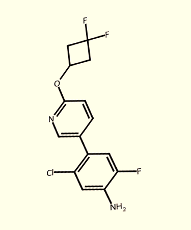 Nc1cc(Cl)c(-c2ccc(OC3CC(F)(F)C3)nc2)cc1F